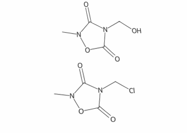 Cn1oc(=O)n(CCl)c1=O.Cn1oc(=O)n(CO)c1=O